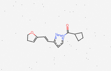 O=C(C1CCC1)n1ccc(/C=C/C2=CCCO2)n1